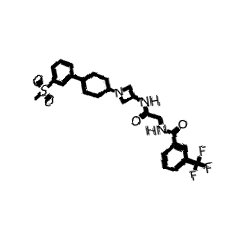 CS(=O)(=O)c1cccc(C2CCC(N3CC(NC(=O)CNC(=O)c4cccc(C(F)(F)F)c4)C3)CC2)c1